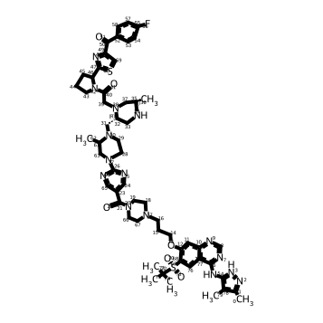 Cc1n[nH]c(Nc2ncnc3cc(OCCCN4CCN(C(=O)c5cnc(N6CCN(C[C@H]7CN[C@H](C)CN7CC(=O)N7CCCC7c7nc(C(=O)c8ccc(F)cc8)cs7)C(C)C6)nc5)CC4)c(S(=O)(=O)C(C)(C)C)cc23)c1C